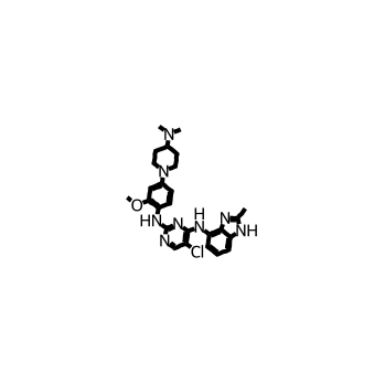 COc1cc(N2CCC(N(C)C)CC2)ccc1Nc1ncc(Cl)c(Nc2cccc3[nH]c(C)nc23)n1